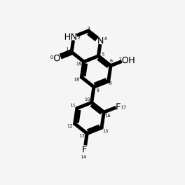 O=c1[nH]cnc2c(O)cc(-c3ccc(F)cc3F)cc12